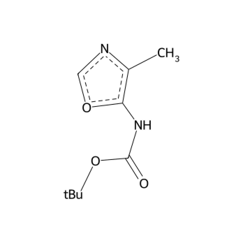 Cc1ncoc1NC(=O)OC(C)(C)C